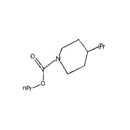 CCCOC(=O)N1CCC(C(C)C)CC1